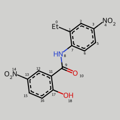 CCc1cc([N+](=O)[O-])ccc1NC(=O)c1cc([N+](=O)[O-])ccc1O